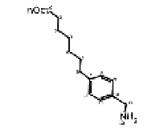 CCCCCCCCCCCCCCc1ccc(CN)cc1